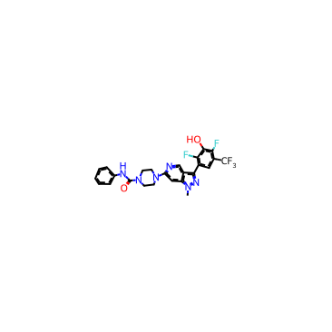 Cn1nc(-c2cc(C(F)(F)F)c(F)c(O)c2F)c2cnc(N3CCN(C(=O)Nc4ccccc4)CC3)cc21